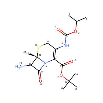 CC(C)OC(=O)NC1=C(C(=O)OC(C)(C)C)N2C(=O)C(N)[C@@H]2SC1